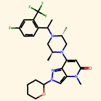 CC(c1ccc(F)cc1C(F)(F)F)N1C[C@H](C)N(c2cc(=O)n(C)c3cn(C4CCCCO4)nc23)C[C@H]1C